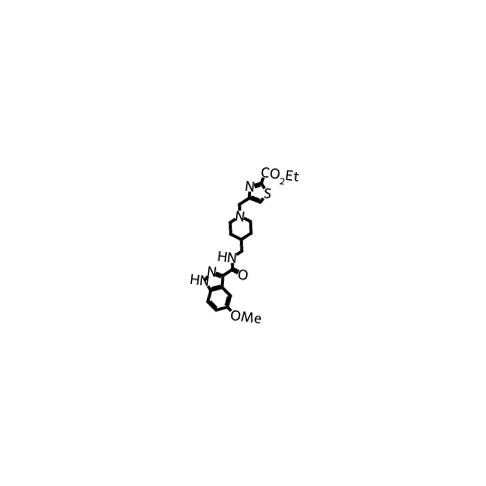 CCOC(=O)c1nc(CN2CCC(CNC(=O)c3n[nH]c4ccc(OC)cc34)CC2)cs1